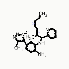 C=C/C=C\C=C(/C)C(Nc1cc(-c2c(C)nnn2C)ccc1N)c1ccccn1